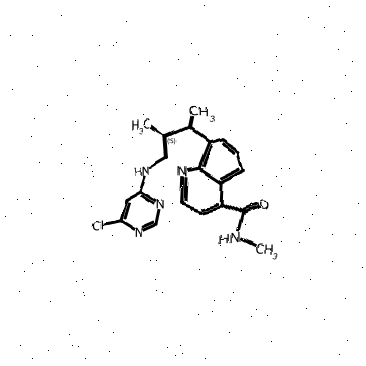 CNC(=O)c1ccnc2c(C(C)[C@H](C)CNc3cc(Cl)ncn3)cccc12